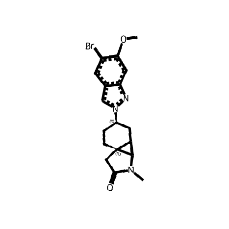 COc1cc2nn([C@@H]3CC[C@]45CC(=O)N(C)C4C5C3)cc2cc1Br